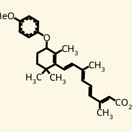 COc1ccc(OC2CCC(C)(C)C(C=CC(C)=CC=CC(C)=CC(=O)O)=C2C)cc1